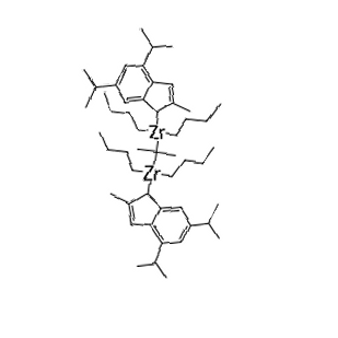 CCC[CH2][Zr]([CH2]CCC)([CH]1C(C)=Cc2c(C(C)C)cc(C(C)C)cc21)[C](C)(C)[Zr]([CH2]CCC)([CH2]CCC)[CH]1C(C)=Cc2c(C(C)C)cc(C(C)C)cc21